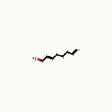 C=CCCCC=CC=O